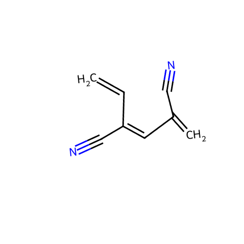 C=C/C(C#N)=C\C(=C)C#N